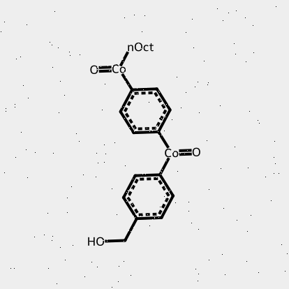 CCCCCCC[CH2][Co](=[O])[c]1cc[c]([Co](=[O])[c]2ccc(CO)cc2)cc1